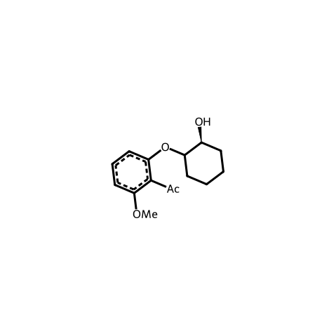 COc1cccc(OC2CCCC[C@@H]2O)c1C(C)=O